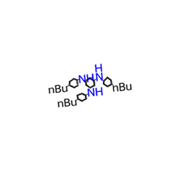 CCCCc1ccc(Nc2cc(Nc3ccc(CCCC)cc3)cc(Nc3ccc(CCCC)cc3)c2)cc1